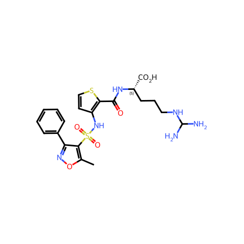 Cc1onc(-c2ccccc2)c1S(=O)(=O)Nc1ccsc1C(=O)N[C@@H](CCCNC(N)N)C(=O)O